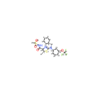 Cc1sc(N(Cc2ccccc2)c2cccc(OC(F)(F)F)c2)nc1C(=O)NS(C)(=O)=O